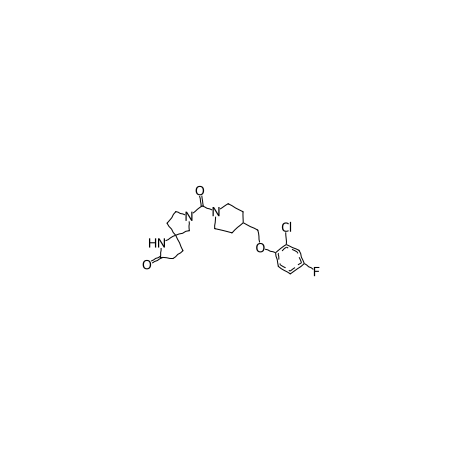 O=C1CCC2(CCN(C(=O)N3CCC(COc4ccc(F)cc4Cl)CC3)C2)N1